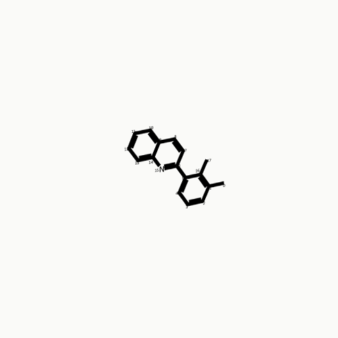 Cc1cccc(-c2ccc3ccccc3n2)c1C